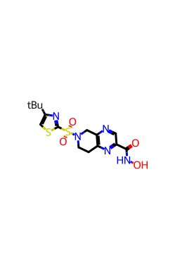 CC(C)(C)c1csc(S(=O)(=O)N2CCc3nc(C(=O)NO)cnc3C2)n1